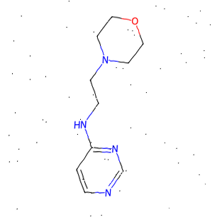 [c]1nccc(NCCN2CCOCC2)n1